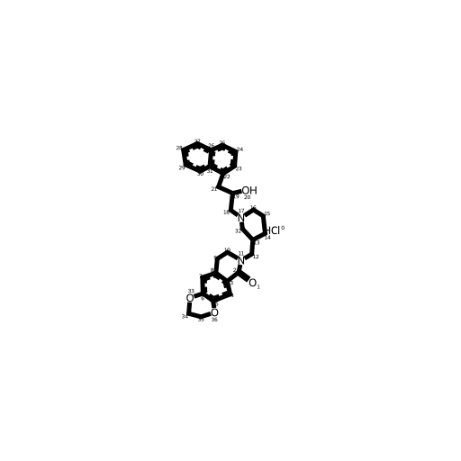 Cl.O=C1c2cc3c(cc2CCN1CC1CCCN(CC(O)Cc2cccc4ccccc24)C1)OCCO3